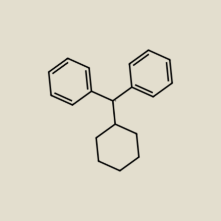 c1ccc([C](c2ccccc2)C2CCCCC2)cc1